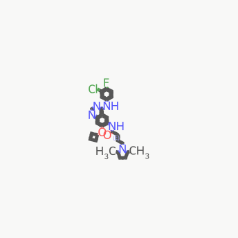 CC1CCC(C)N1C/C=C/C(=O)Nc1cc2c(Nc3ccc(F)c(Cl)c3)ncnc2cc1OC1CCC1